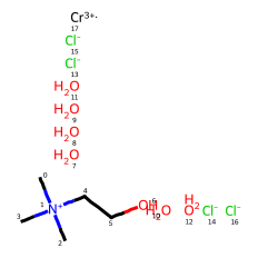 C[N+](C)(C)CCO.O.O.O.O.O.O.[Cl-].[Cl-].[Cl-].[Cl-].[Cr+3]